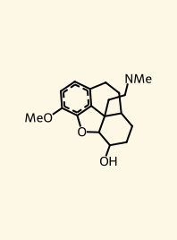 CNCCC12c3c4ccc(OC)c3OC1C(O)CCC2CC4